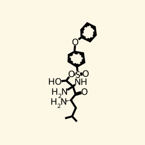 CC(C)C[C@H](N)C(=O)C(N)(NS(=O)(=O)c1ccc(Oc2ccccc2)cc1)C(C)O